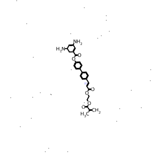 C=C(C)C(=O)OCCOC(=O)/C=C/c1ccc(-c2ccc(OC(=O)C3=CC(N)=CC(N)C3)cc2)cc1